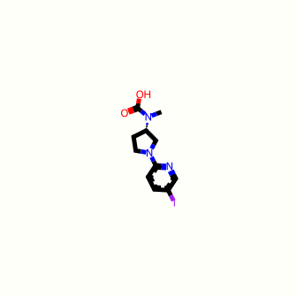 CN(C(=O)O)[C@H]1CCN(c2ccc(I)cn2)C1